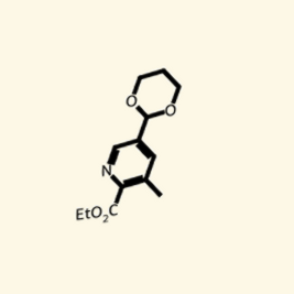 CCOC(=O)c1ncc(C2OCCCO2)cc1C